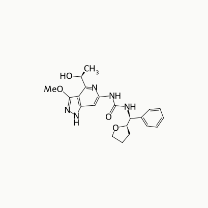 COc1n[nH]c2cc(NC(=O)N[C@@H](c3ccccc3)[C@H]3CCCO3)nc([C@H](C)O)c12